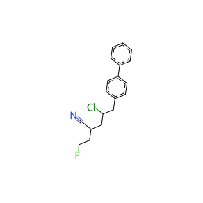 N#CC(CCF)CC(Cl)Cc1ccc(-c2ccccc2)cc1